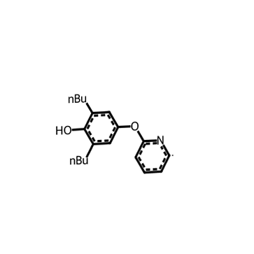 CCCCc1cc(Oc2ccc[c]n2)cc(CCCC)c1O